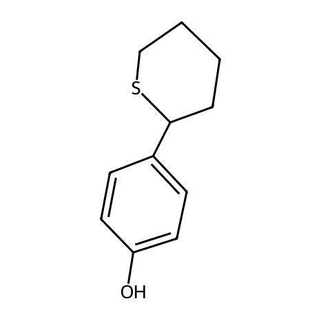 Oc1ccc(C2CCCCS2)cc1